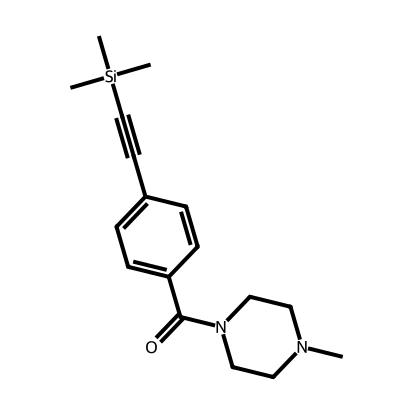 CN1CCN(C(=O)c2ccc(C#C[Si](C)(C)C)cc2)CC1